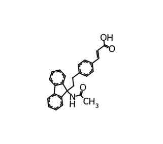 CC(=O)NC1(CCc2ccc(C=CC(=O)O)cc2)c2ccccc2-c2ccccc21